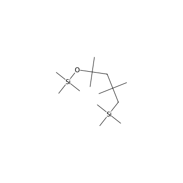 CC(C)(CC(C)(C)O[Si](C)(C)C)C[Si](C)(C)C